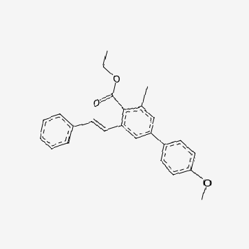 CCOC(=O)c1c(C)cc(-c2ccc(OC)cc2)cc1/C=C/c1ccccc1